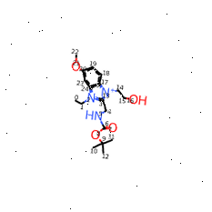 CCn1c(CNC(=O)OC(C)(C)C)[n+](CCO)c2ccc(OC)cc21